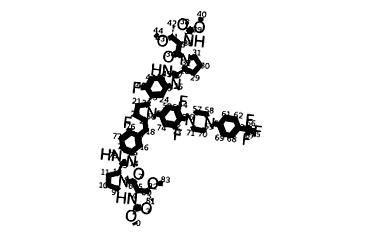 COC(=O)N[C@H](C(=O)N1CCC[C@H]1c1nc2cc(CC3CC[C@H](c4cc5nc([C@@H]6CCCN6C(=O)[C@@H](NC(=O)OC)[C@@H](C)OC)[nH]c5cc4F)N3c3cc(F)c(N4CCN(c5ccc(C(F)(F)F)cc5)CC4)c(F)c3)c(F)cc2[nH]1)[C@@H](C)OC